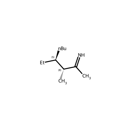 CCCC[C@H](CC)[C@@H](C)C(C)=N